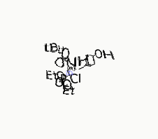 CCOP(=O)(OCC)/C(Cl)=C/[C@@H](Cc1ccc(O)cc1)NC(=O)OC(C)(C)C